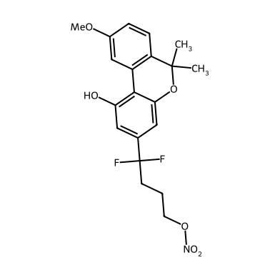 COc1ccc2c(c1)-c1c(O)cc(C(F)(F)CCCO[N+](=O)[O-])cc1OC2(C)C